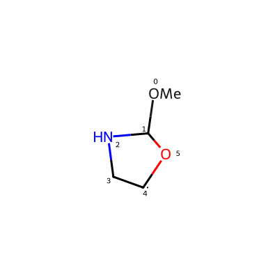 COC1NC[CH]O1